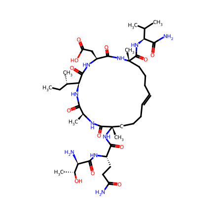 CC[C@H](C)[C@@H]1NC(=O)[C@H](C)NC(=O)[C@@](C)(NC(=O)[C@H](CCC(N)=O)NC(=O)[C@H](N)[C@@H](C)O)CCC/C=C/CCC[C@@](C)(C(=O)N[C@H](C(N)=O)C(C)C)NC(=O)[C@H](CC(=O)O)NC1=O